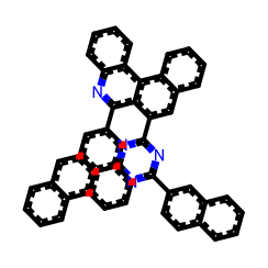 c1ccc2cc(-c3nc(-c4ccc5ccccc5c4)nc(-c4cc5ccccc5c5c4c(-c4ccc6ccccc6c4)nc4ccccc45)n3)ccc2c1